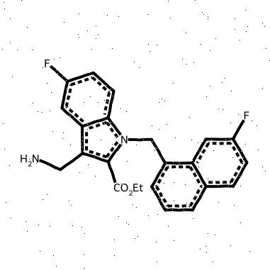 CCOC(=O)c1c(CN)c2cc(F)ccc2n1Cc1cccc2ccc(F)cc12